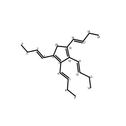 CCC=CC1=C(C=CCC)C(C=CCC)=C(C=CCC)C1